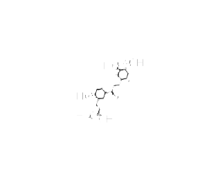 COc1ccc(/C=C/C(=O)c2ccc(O)c(CC=C(C)C)c2)cc1O